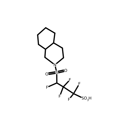 O=S(=O)(C(F)C(F)(F)C(F)(F)S(=O)(=O)O)N1CCC2CCCCC2C1